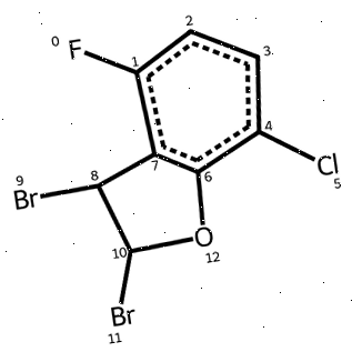 Fc1ccc(Cl)c2c1C(Br)C(Br)O2